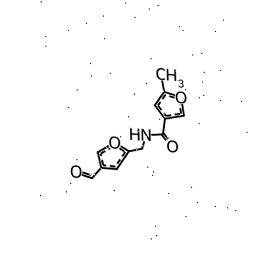 Cc1cc(C(=O)NCc2cc(C=O)co2)co1